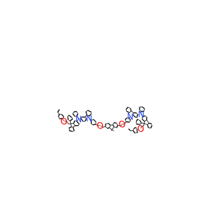 C=Cc1ccc(OCCC2(c3ccccc3)c3ccccc3-c3ccc(N(c4ccccc4)c4ccc5c(c4)c4ccccc4n5-c4ccc(COCc5ccc6c(c5)C(C)(C)c5cc(COCc7ccc(-n8c9ccccc9c9cc(N(c%10ccccc%10)c%10ccc%11c(c%10)C(CCOc%10ccc(C=C)cc%10)(c%10ccccc%10)c%10ccccc%10-%11)ccc98)cc7)ccc5-6)cc4)cc32)cc1